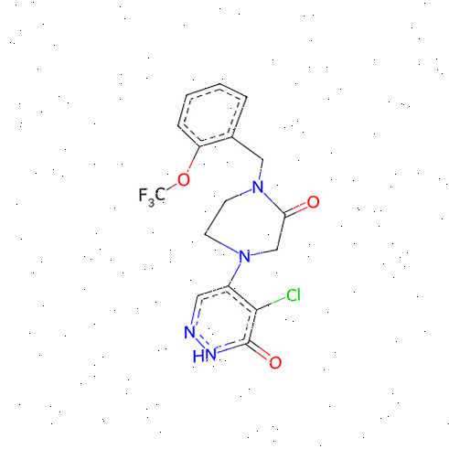 O=C1CN(c2cn[nH]c(=O)c2Cl)CCN1Cc1ccccc1OC(F)(F)F